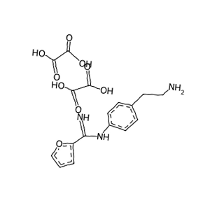 N=C(Nc1ccc(CCN)cc1)c1ccco1.O=C(O)C(=O)O.O=C(O)C(=O)O